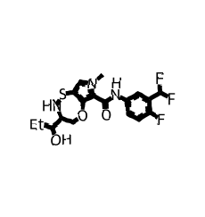 CCC(O)C1COc2c(cn(C)c2C(=O)Nc2ccc(F)c(C(F)F)c2)SN1